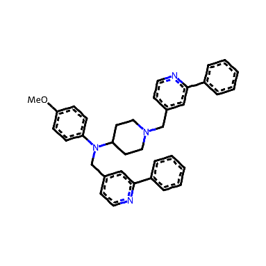 COc1ccc(N(Cc2ccnc(-c3ccccc3)c2)C2CCN(Cc3ccnc(-c4ccccc4)c3)CC2)cc1